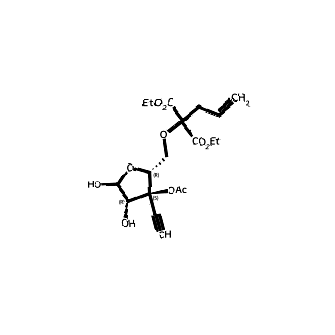 C#C[C@@]1(OC(C)=O)[C@@H](COC(CC=C)(C(=O)OCC)C(=O)OCC)OC(O)[C@@H]1O